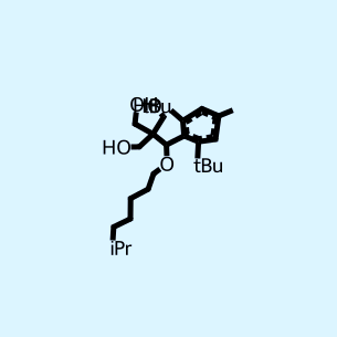 Cc1cc(C(C)(C)C)c(C(OCCCCCC(C)C)C(CO)(CO)CO)c(C(C)(C)C)c1